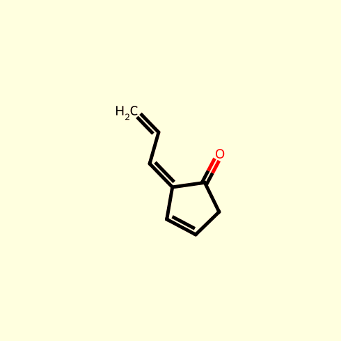 C=CC=C1C=CCC1=O